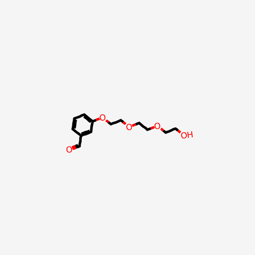 O=Cc1cccc(OCCOCCOCCO)c1